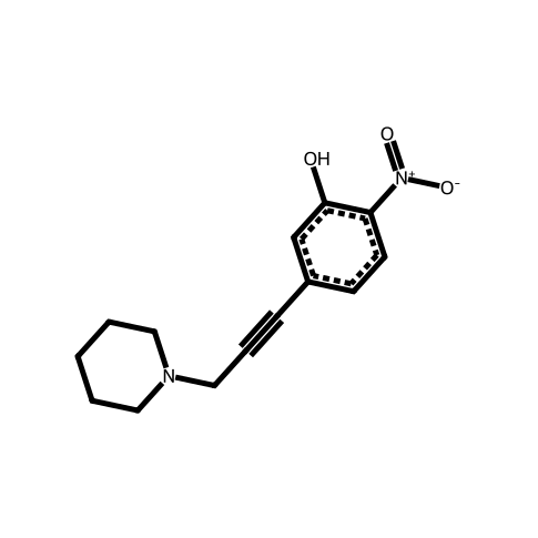 O=[N+]([O-])c1ccc(C#CCN2CCCCC2)cc1O